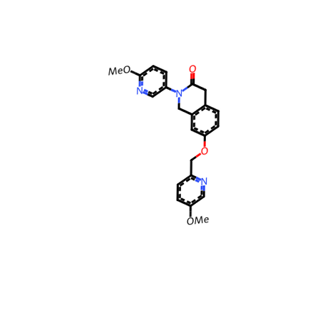 COc1ccc(COc2ccc3c(c2)CN(c2ccc(OC)nc2)C(=O)C3)nc1